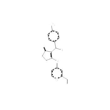 N#Cc1ccc(C(N)C2=C(Nc3ccnc(CF)c3)CCC2=O)cc1